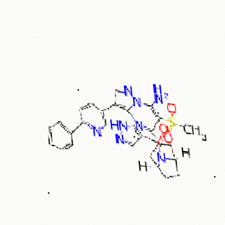 CS(=O)(=O)c1c([C@@H]2C[C@H]3CC[C@@H](C2)N3C(=O)c2cn[nH]c2)nc2c(-c3ccc(-c4ccccc4)nc3)cnn2c1N